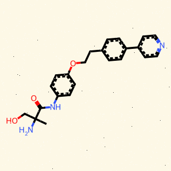 CC(N)(CO)C(=O)Nc1ccc(OCCc2ccc(-c3ccncc3)cc2)cc1